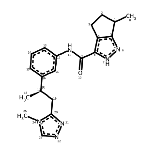 CC1CCc2c1n[nH]c2C(=O)Nc1cccc([C@H](C)Cc2nncn2C)c1